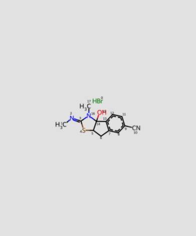 Br.C/N=C1\SC2Cc3cc(C#N)ccc3C2(O)N1C